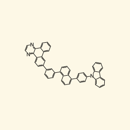 c1cc(-c2ccc3c(c2)c2ccccc2c2nccnc32)cc(-c2cccc3c(-c4ccc(-n5c6ccccc6c6ccccc65)cc4)cccc23)c1